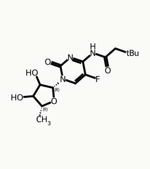 C[C@H]1O[C@@H](n2cc(F)c(NC(=O)CC(C)(C)C)nc2=O)C(O)C1O